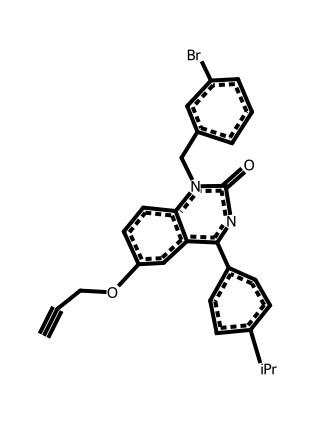 C#CCOc1ccc2c(c1)c(-c1ccc(C(C)C)cc1)nc(=O)n2Cc1cccc(Br)c1